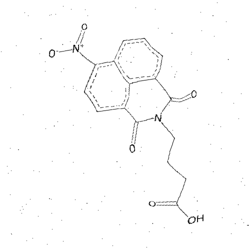 O=C(O)CCCN1C(=O)c2cccc3c([N+](=O)[O-])ccc(c23)C1=O